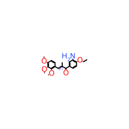 CCOc1ccc(C(=O)/C(C)=C/c2ccc(OC)c(OC)c2OC)cc1N